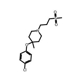 CC1(Oc2ccc(Cl)cc2)CCN(CCCS(C)(=O)=O)CC1